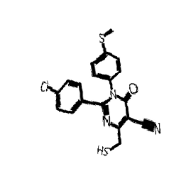 CSc1ccc(-n2c(-c3ccc(Cl)cc3)nc(CS)c(C#N)c2=O)cc1